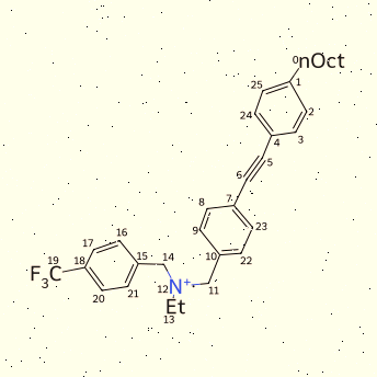 CCCCCCCCc1ccc(C#Cc2ccc(C[N+](CC)Cc3ccc(C(F)(F)F)cc3)cc2)cc1